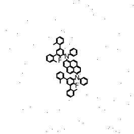 Cc1ccccc1-c1cc(-c2ccccc2C)c(F)c(N(c2ccccc2)c2ccc3ccc4c(N(c5ccccc5)c5cc(-c6ccccc6C)cc(-c6ccccc6C)c5F)ccc5ccc2c3c54)c1